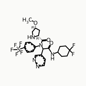 CO[C@H]1CN[C@@H](C(=O)N(c2ccc(S(F)(F)(F)(F)F)cc2)C(C(=O)NC2CCC(F)(F)CC2)c2ccnnc2)C1